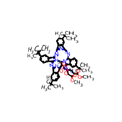 COC(=O)CCC(=O)O/C1=C2N=C(/N=c3/c4ccc(C(C)(C)C)cc4/c4n3[Si]1(OC(=O)CCC(=O)OC)n1c(N)c3cc(C(C)(C)C)ccc3c1/N=C1N=C(/N=4)c3ccc(C(C)(C)C)cc3\1)c1cc(C(C)(C)C)ccc1/2